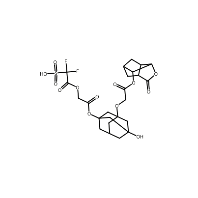 O=C(COC12CC3CC(O)(C1)CC(OC(=O)COC(=O)C(F)(F)S(=O)(=O)O)(C3)C2)OC1C2CC3C(=O)OC1C3C2